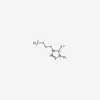 CCCCN1N=CN(F)C1F